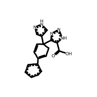 O=C(O)c1[nH]nnc1C1(c2cn[nH]c2)C=CC(c2ccccc2)=CC1